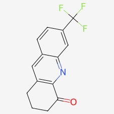 O=C1CCCc2cc3ccc(C(F)(F)F)cc3nc21